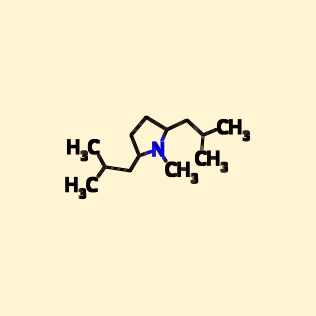 CC(C)CC1CCC(CC(C)C)N1C